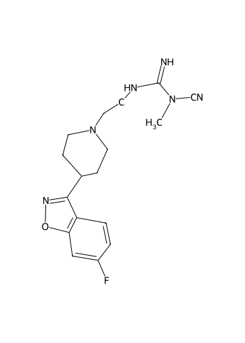 CN(C#N)C(=N)NCCN1CCC(c2noc3cc(F)ccc23)CC1